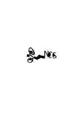 CS(=O)(=O)CCCN=C=S